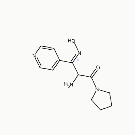 NC(C(=O)N1CCCC1)/C(=N/O)c1ccncc1